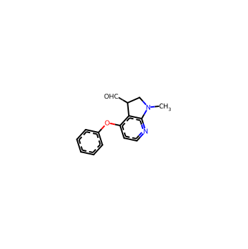 CN1CC(C=O)c2c(Oc3ccccc3)ccnc21